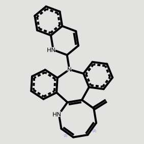 C=C1/C=C\C=C/NC2=C1c1ccccc1N(C1C=Cc3ccccc3N1)c1ccccc12